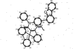 C=C(C1=C(/C=C\C)c2ccccc2C12c1ccccc1-c1ccccc12)N(c1ccccc1)c1ccc(-c2cccc3c2oc2ccccc23)cc1